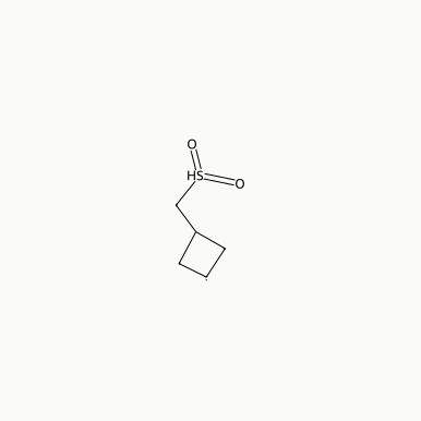 O=[SH](=O)CC1C[CH]C1